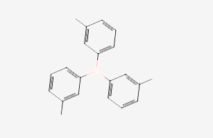 FC(F)(F)c1cccc(B(c2cccc(C(F)(F)F)c2)c2cccc(C(F)(F)F)c2)c1